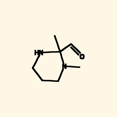 CN1CCCNC1(C)C=O